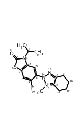 CC(C)n1c(=O)sc2cc(F)c(-n3nc4c([n+]3[O-])CCCC4)cc21